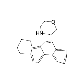 C1COCCN1.c1ccc2c(c1)ccc1c3c(ccc12)CCCC3